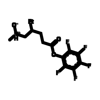 CCC(CCC(=O)Oc1c(F)c(F)c(F)c(F)c1F)C[NH+](C)[O-]